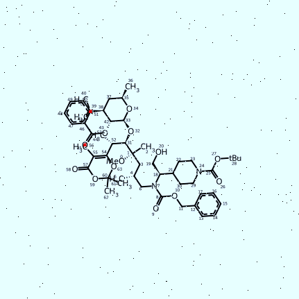 CO[C@](C)(C[C@@H](C)CN(C(=O)OCc1ccccc1)[C@@H](CO)C1CCN(C(=O)OC(C)(C)C)CC1)[C@H](O[C@@H]1O[C@H](C)C[C@H](N(C)C)[C@H]1OC(=O)c1ccccc1)[C@@H](C)C1=C(C)C(=O)OC(C)(C)O1